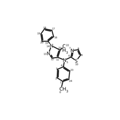 Cc1ccc(N(c2nccs2)c2cnn(-c3ccccc3)c2C)cc1